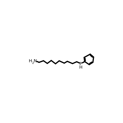 NCCCCCCCCCCPc1ccccc1